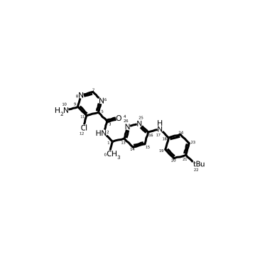 CC(NC(=O)c1ncnc(N)c1Cl)c1ccc(Nc2ccc(C(C)(C)C)cc2)nn1